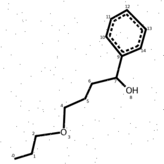 CCCOCCCC(O)c1ccccc1